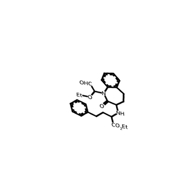 CCOC(=O)C(CCc1ccccc1)NC1CCc2ccccc2N(C(C=O)OCC)C1=O